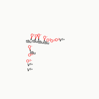 CC(C)(C)[O-].CC(C)(C)[O-].CC(C)(C)[O-].CC(C)(C)[O-].CC(C)(C)[O-].[O-2].[O-2].[O-2].[O-2].[O-2].[V+5].[V+5].[V+5]